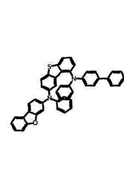 c1ccc(-c2ccc(N(c3ccccc3)c3cccc4sc5ccc(N(c6ccccc6)c6ccc7c(c6)oc6ccccc67)cc5c34)cc2)cc1